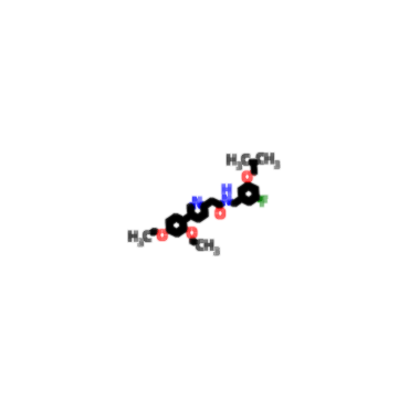 CCOc1ccc(-c2ccc(CC(=O)NCc3cc(F)cc(OCC(C)C)c3)nc2)c(OCC)c1